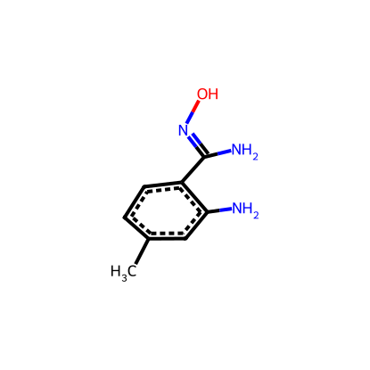 Cc1ccc(C(N)=NO)c(N)c1